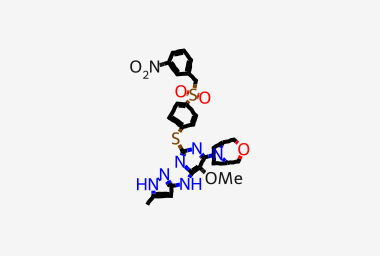 COc1c(Nc2cc(C)[nH]n2)nc(Sc2ccc(S(=O)(=O)Cc3cccc([N+](=O)[O-])c3)cc2)nc1N1C2CCC1COC2